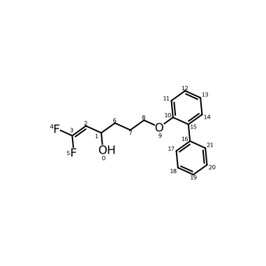 OC(C=C(F)F)CCCOc1ccccc1-c1ccccc1